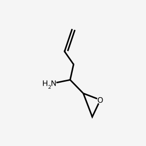 C=CCC(N)C1CO1